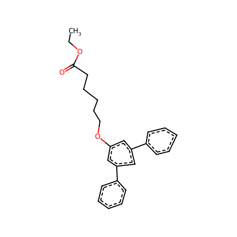 CCOC(=O)CCCCCOc1cc(-c2ccccc2)cc(-c2ccccc2)c1